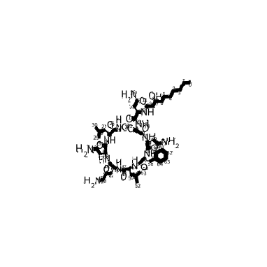 CCCCCCC[C@@H](O)CC(=O)N[C@H](CCN)C(=O)N[C@H]1CCNC(=O)[C@H](CC(C)C)NC(=O)[C@H](CCN)NC(=O)[C@H](CCCN)NC(=O)[C@H](CC(C)C)NC(=O)[C@@H](Cc2ccccc2)NC(=O)[C@H](CCN)NC1=O